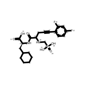 O=C(N[C@@H](CC1CCCCC1)C(=O)O)C(CC#Cc1ccc(F)cc1F)NCP(=O)(O)O